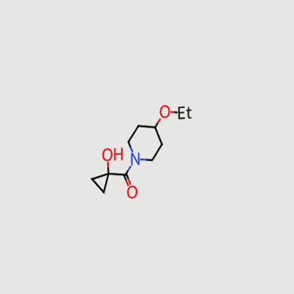 CCOC1CCN(C(=O)C2(O)CC2)CC1